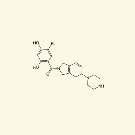 CCc1cc(C(=O)N2CC3=C(CC(N4CCNCC4)C=C3)C2)c(O)cc1O